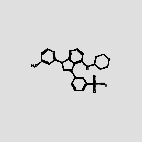 Cc1cccc(-n2cc(-c3cccc(S(N)(=O)=O)c3)c3c(NC4CCOCC4)ncnc32)c1